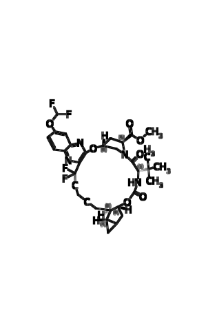 COC(=O)[C@@H]1C[C@@H]2CN1C(=O)[C@H](C(C)(C)C)NC(=O)O[C@@H]1CC3C[C@@H]3[C@H]1CCCCC(F)(F)c1nc3ccc(OC(F)F)cc3nc1O2